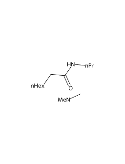 CCCCCCCC(=O)NCCC.CNC